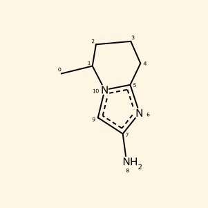 CC1CCCc2nc(N)cn21